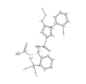 CCOc1cc(C(=O)N[C@@H](CC(=O)O)c2ccccc2C(F)(F)F)nn1-c1ccccc1F